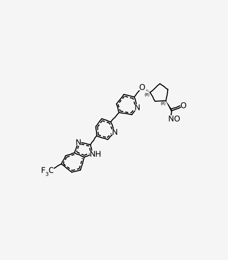 O=NC(=O)[C@@H]1CC[C@@H](Oc2ccc(-c3ccc(-c4nc5cc(C(F)(F)F)ccc5[nH]4)cn3)cn2)C1